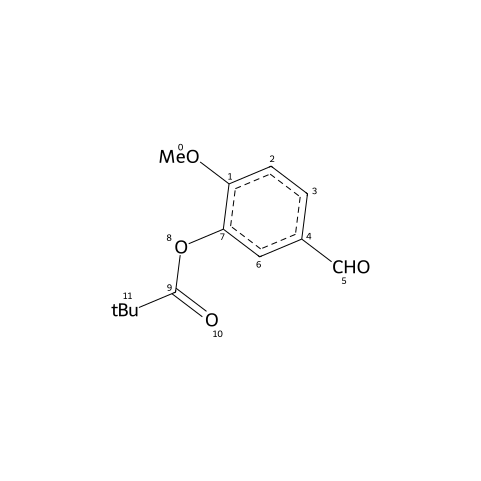 COc1ccc(C=O)cc1OC(=O)C(C)(C)C